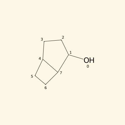 OC1CCC2CCC12